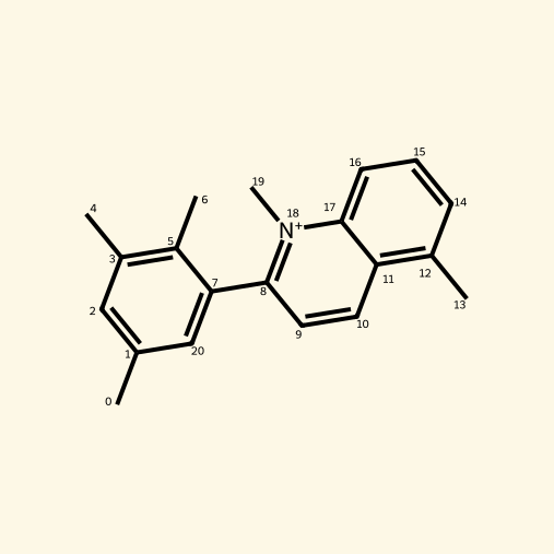 Cc1cc(C)c(C)c(-c2ccc3c(C)cccc3[n+]2C)c1